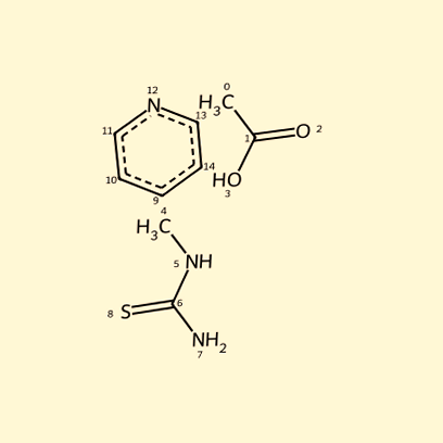 CC(=O)O.CNC(N)=S.c1ccncc1